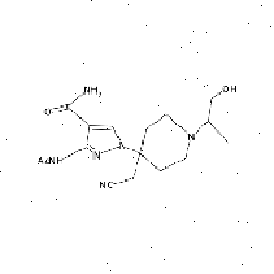 CC(=O)Nc1nn(C2(CC#N)CCN(C(C)CO)CC2)cc1C(N)=O